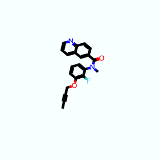 CC#CCOc1cccc(N(C)C(=O)c2ccc3ncccc3c2)c1F